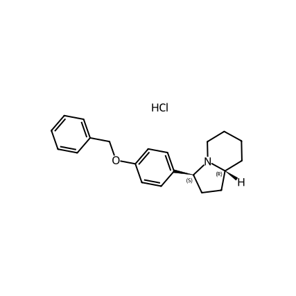 Cl.c1ccc(COc2ccc([C@@H]3CC[C@H]4CCCCN43)cc2)cc1